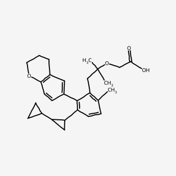 Cc1ccc(C2CC2C2CC2)c(-c2ccc3c(c2)CCCO3)c1CC(C)(C)OCC(=O)O